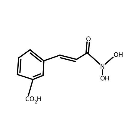 O=C(O)c1cccc(C=CC(=O)N(O)O)c1